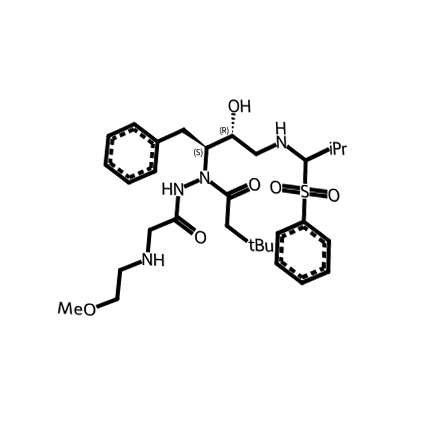 COCCNCC(=O)NN(C(=O)CC(C)(C)C)[C@@H](Cc1ccccc1)[C@H](O)CNC(C(C)C)S(=O)(=O)c1ccccc1